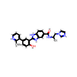 CCC(Cn1ccnc1)NC(=O)c1ccc2[nH]c(-c3cc(-c4cccnc4OC)ccc3O)nc2c1